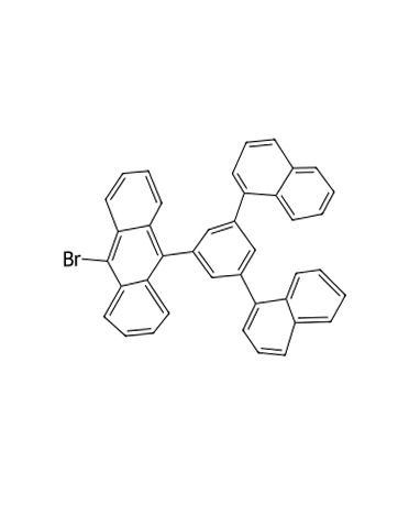 Brc1c2ccccc2c(-c2cc(-c3cccc4ccccc34)cc(-c3cccc4ccccc34)c2)c2ccccc12